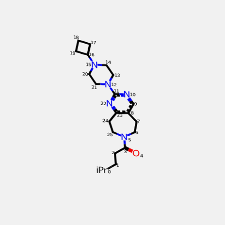 CC(C)CCC(=O)N1CCc2cnc(N3CCN(C4CCC4)CC3)nc2CC1